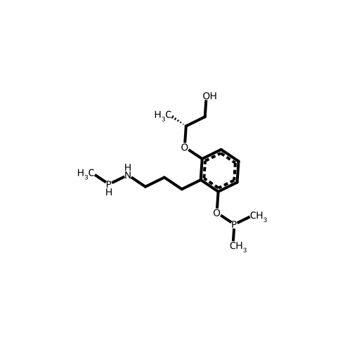 CPNCCCc1c(O[C@H](C)CO)cccc1OP(C)C